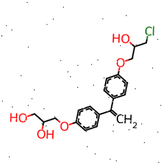 C=C(c1ccc(OCC(O)CO)cc1)c1ccc(OCC(O)CCl)cc1